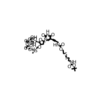 CSSCOC1C[C@H](n2cc(C#CCNC(=O)OCCSSCCNC(=O)OC(C)(C)C)c(=O)[nH]c2=O)O[C@@H]1COP(=O)(O)OP(=O)(O)OP(=O)(O)O